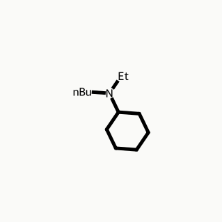 [CH2]CN(CCCC)C1CCCCC1